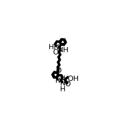 O=C(CCCCCCOc1cccc2c1CN1C(=N2)NC(=O)C1CO)NC1NCCc2ccccc21